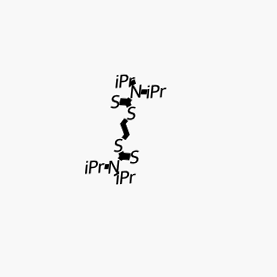 CC(C)N(C(=S)SCCSC(=S)N(C(C)C)C(C)C)C(C)C